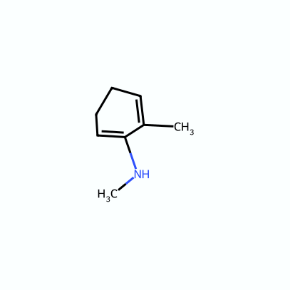 CNC1=CCCC=C1C